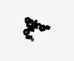 Cn1c(Cc2cccc(Br)c2)nc2nc(N3CCCC(N)C3)n(Cc3ccccc3)c2c1=O